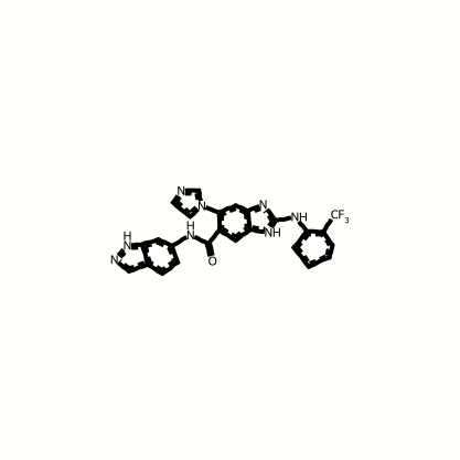 O=C(Nc1ccc2cn[nH]c2c1)c1cc2[nH]c(Nc3ccccc3C(F)(F)F)nc2cc1-n1ccnc1